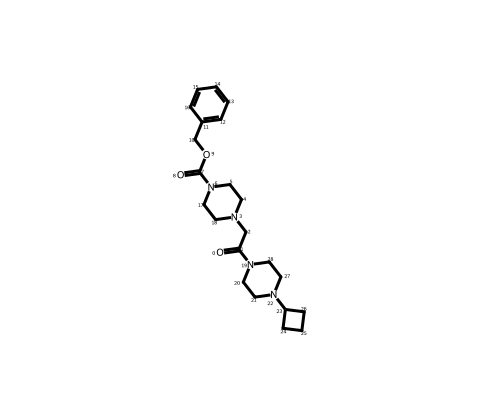 O=C(CN1CCN(C(=O)OCc2ccccc2)CC1)N1CCN(C2CCC2)CC1